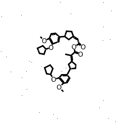 COc1ccc(C2CCC(=CC(=O)OC(=O)C(C)=C3CCC(c4ccc(OC)c(OC5CCCC5)c4)C3)C2)cc1OC1CCCC1